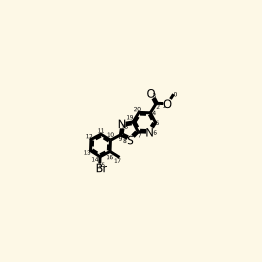 COC(=O)c1cnc2sc(-c3cccc(Br)c3C)nc2c1